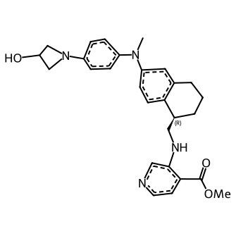 COC(=O)c1ccncc1NC[C@@H]1CCCc2cc(N(C)c3ccc(N4CC(O)C4)cc3)ccc21